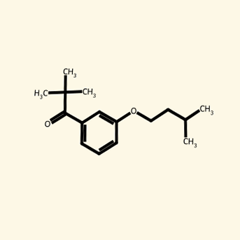 CC(C)CCOc1cccc(C(=O)C(C)(C)C)c1